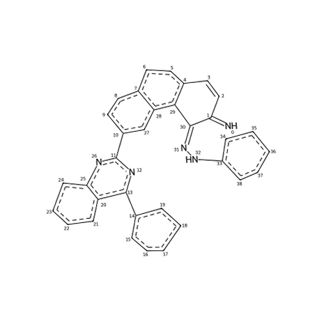 N=C1C=Cc2ccc3ccc(-c4nc(-c5ccccc5)c5ccccc5n4)cc3c2/C1=N/Nc1ccccc1